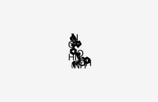 Cc1csc(C2CCCN2C(=O)c2cccc(C(=O)N[C@@H](Cc3ccccc3)[C@H](O)[C@H]3CC[C@@H](C)N3)c2)n1